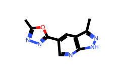 Cc1nnc(-c2cnc3[nH]nc(C)c3c2)o1